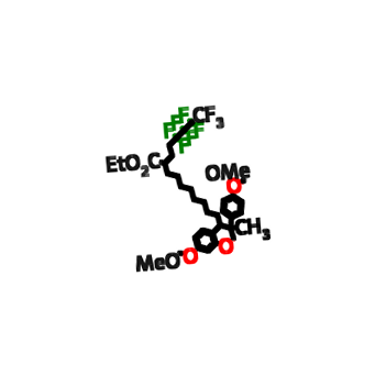 CCOC(=O)C(CCCCCCCCC1c2ccc(OCOC)cc2OCC1(C)c1ccc(OCOC)cc1)CCC(F)(F)C(F)(F)C(F)(F)C(F)(F)F